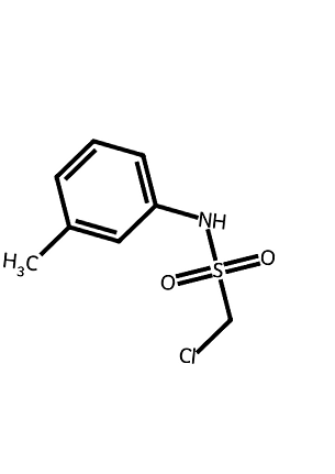 Cc1cccc(NS(=O)(=O)CCl)c1